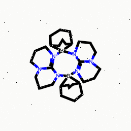 C1CC2CCCC(C1)[B-]21N2CCCN3CCC[N+](=C32)[B-]2(C3CCCC2CCC3)N2CCCN3CCC[N+]1=C32